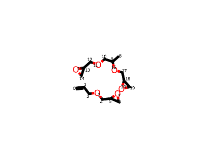 C=CCOCC1CO1.CC(COCC1CO1)OCC1CO1